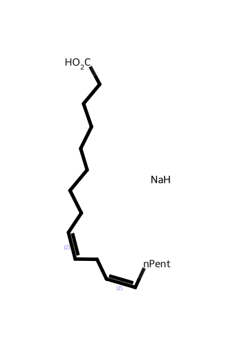 CCCCC/C=C\C/C=C\CCCCCCCC(=O)O.[NaH]